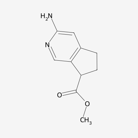 COC(=O)C1CCc2cc(N)ncc21